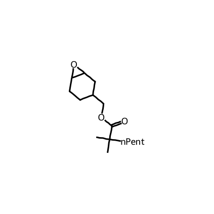 CCCCCC(C)(C)C(=O)OCC1CCC2OC2C1